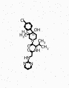 CC(C)[C@@H](NC(=O)CNc1ncccn1)C(=O)N1CC[C@](O)(c2ccc(Cl)cc2)C(C)(C)C1